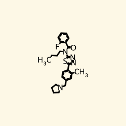 CCCCN(C(=O)c1ccccc1F)c1nnc(-c2ccc(CN3CCCC3)cc2C)s1